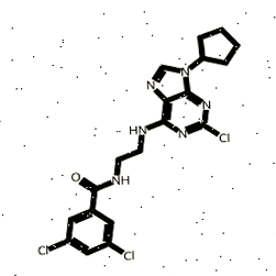 O=C(NCCNc1nc(Cl)nc2c1ncn2C1CCCC1)c1cc(Cl)cc(Cl)c1